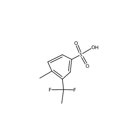 Cc1ccc(S(=O)(=O)O)cc1C(C)(F)F